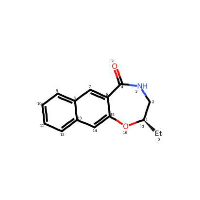 CC[C@@H]1CNC(=O)c2cc3ccccc3cc2O1